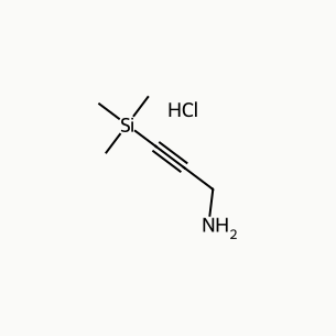 C[Si](C)(C)C#CCN.Cl